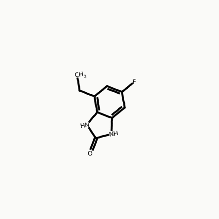 CCc1cc(F)cc2[nH]c(=O)[nH]c12